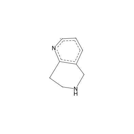 [c]1ccc2c(n1)CCNC2